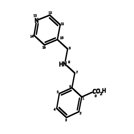 O=C(O)c1ccccc1CNCc1ccncc1